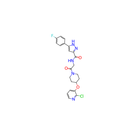 O=C(NCC(=O)N1CCC(Oc2cccnc2Cl)CC1)c1cc(-c2ccc(F)cc2)[nH]n1